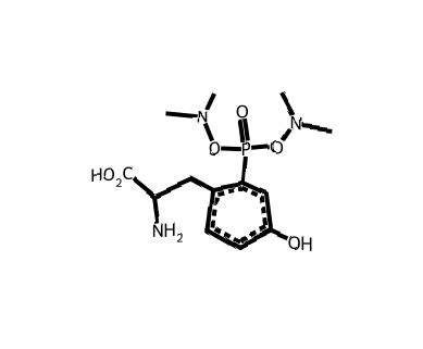 CN(C)OP(=O)(ON(C)C)c1cc(O)ccc1CC(N)C(=O)O